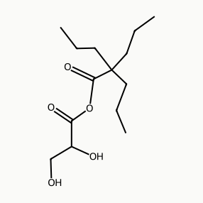 CCCC(CCC)(CCC)C(=O)OC(=O)C(O)CO